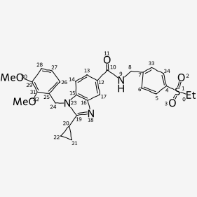 CCS(=O)(=O)c1ccc(CNC(=O)c2ccc3c(c2)nc(C2CC2)n3Cc2cccc(OC)c2OC)cc1